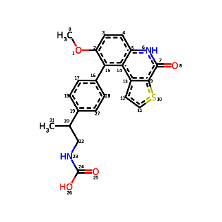 COc1ccc2[nH]c(=O)c3sccc3c2c1-c1ccc(C(C)CNC(=O)O)cc1